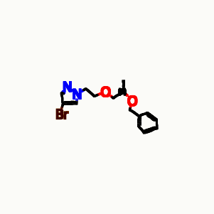 C[C@H](COCCn1cc(Br)cn1)OCc1ccccc1